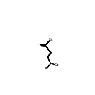 O=C(O)CCB(O)O